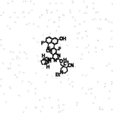 C#Cc1c(F)ccc2cc(O)cc(-c3c(F)cc4c(N5C[C@H]6CC[C@@H](C5)N6)nc(OCC5(C)CN(CC)CCC5C#N)nc4c3F)c12